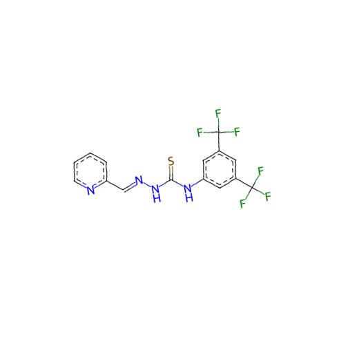 FC(F)(F)c1cc(NC(=S)NN=Cc2ccccn2)cc(C(F)(F)F)c1